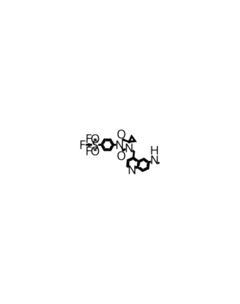 CNc1ccc2nccc(CN3C(=O)N(c4ccc(S(=O)(=O)C(F)(F)F)cc4)C(=O)C34CC4)c2c1